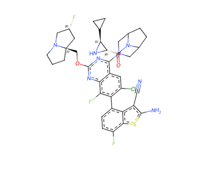 N#Cc1c(N)sc2c(F)ccc(-c3c(Cl)cc4c(N5CC6CCC(C5)N6C(=O)[C@@H]5N[C@H]5C5CC5)nc(OC[C@@]56CCCN5C[C@H](F)C6)nc4c3F)c12